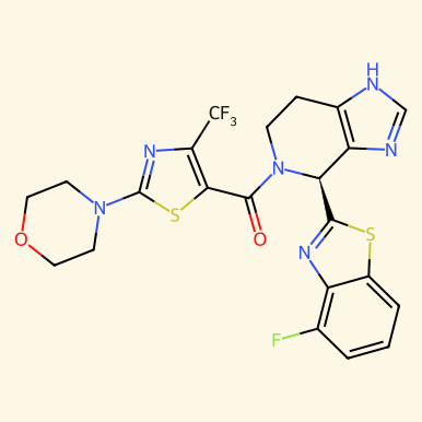 O=C(c1sc(N2CCOCC2)nc1C(F)(F)F)N1CCc2[nH]cnc2[C@H]1c1nc2c(F)cccc2s1